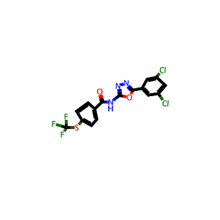 O=C(Nc1nnc(-c2cc(Cl)cc(Cl)c2)o1)c1ccc(SC(F)(F)F)cc1